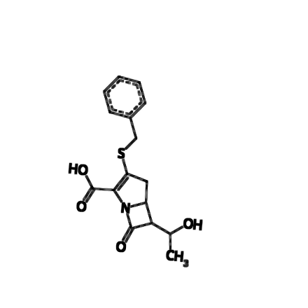 CC(O)C1C(=O)N2C(C(=O)O)=C(SCc3ccccc3)CC12